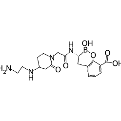 NCCNC1CCN(CC(=O)N[C@H]2Cc3cccc(C(=O)O)c3OB2O)C(=O)C1